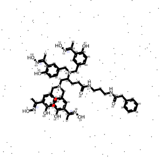 C/C(=N\O)c1cc(CN(Cc2ccc(O)c(/C(C)=N/O)c2)CC(CCC(=O)NCCCNC(=O)Cc2ccccc2)N(Cc2ccc(O)c(/C(C)=N/O)c2)Cc2ccc(O)c(/C(C)=N/O)c2)ccc1O